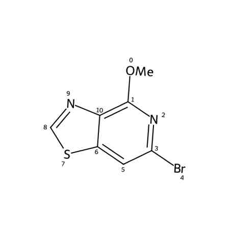 COc1nc(Br)cc2scnc12